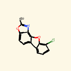 CC(C)(C)c1nc2c(ccc3c4cccc(Cl)c4oc32)o1